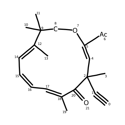 C#CC1(C)/C=C(/C(C)=O)OCC(C)(C)/C(C)=C/C=C\C=C(/C)C1=O